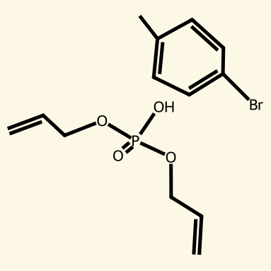 C=CCOP(=O)(O)OCC=C.Cc1ccc(Br)cc1